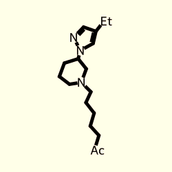 CCc1cnn(C2CCCN(CCCCCC(C)=O)C2)c1